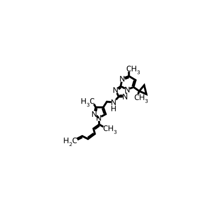 C=C/C=C\C=C(/C)n1cc(CNc2nc3nc(C)cc(C4(C)CC4)n3n2)c(C)n1